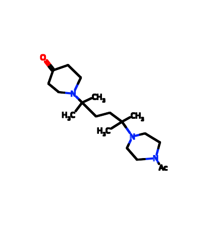 CC(=O)N1CCN(C(C)(C)CCC(C)(C)N2CCC(=O)CC2)CC1